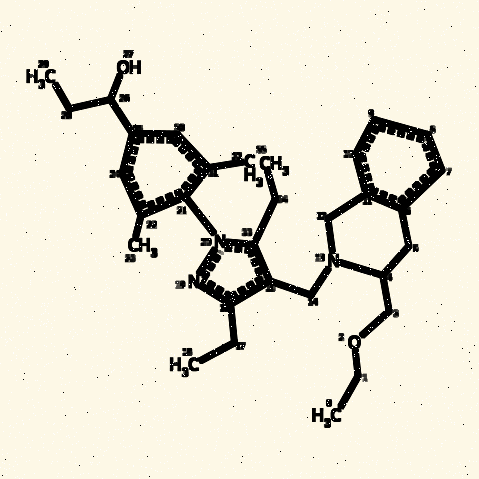 CCOCC1Cc2ccccc2CN1Cc1c(CC)nn(-c2c(C)cc(C(O)CC)cc2C)c1CC